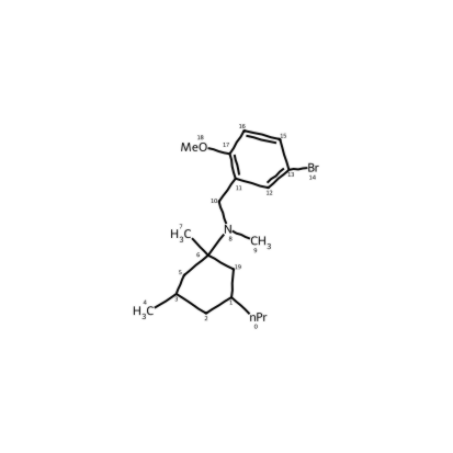 CCCC1CC(C)CC(C)(N(C)Cc2cc(Br)ccc2OC)C1